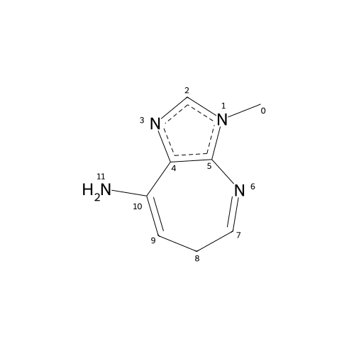 Cn1cnc2c1N=CCC=C2N